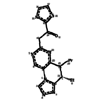 CC[C@@H]1c2nncn2-c2cnc(CC(=O)c3nccs3)nc2N1C(C)C